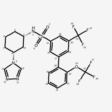 O=S(=O)(N[C@H]1CCC[C@@H](n2cnnc2)C1)c1cc(-c2ccccc2OC(F)(F)F)cc(C(F)(F)F)c1